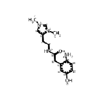 Cn1c[n+](C)cc1CCNC(=O)Cc1cc(O)ccc1N